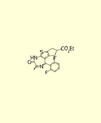 CCOC(=O)C1Cc2sc3c(c2C1)C(c1c(F)cccc1F)=N[C@@H](C)C(=O)N3